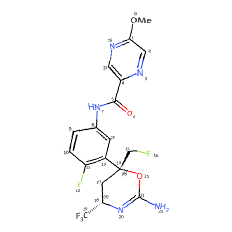 COc1cnc(C(=O)Nc2ccc(F)c([C@@]3(CF)C[C@@H](C(F)(F)F)N=C(N)O3)c2)cn1